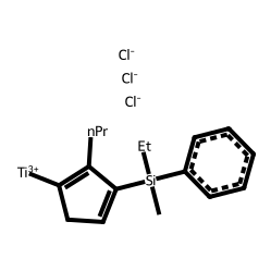 CCCC1=[C]([Ti+3])CC=C1[Si](C)(CC)c1ccccc1.[Cl-].[Cl-].[Cl-]